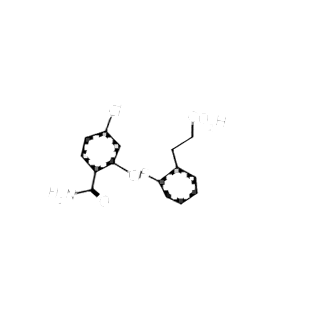 NC(=O)c1ccc(Cl)cc1Cl.O=C(O)CCc1ccccc1F